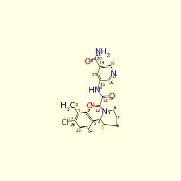 Cc1cc([C@@H]2CCCCN2C(=O)C(=O)Nc2cncc(C(N)=O)c2)ccc1Cl